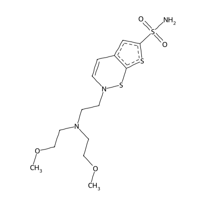 COCCN(CCOC)CCN1C=Cc2cc(S(N)(=O)=O)sc2S1